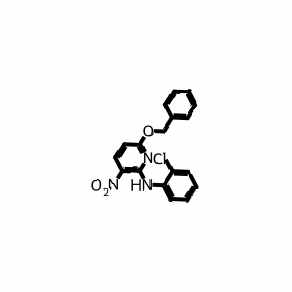 O=[N+]([O-])c1ccc(OCc2ccccc2)nc1Nc1ccccc1Cl